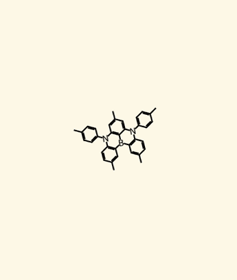 Cc1ccc(N2c3ccc(C)cc3B3c4cc(C)ccc4N(c4ccc(C)cc4)c4cc(C)cc2c43)cc1